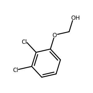 OCOc1cccc(Cl)c1Cl